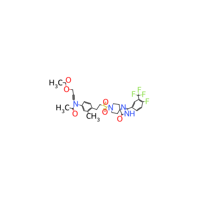 CC(=O)OCC#CN(C(C)=O)c1ccc(CCS(=O)(=O)N2CCC3(CC2)N=C(c2ccc(F)c(C(F)(F)F)c2)NC3=O)c(C)c1